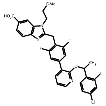 COCCn1c(Cc2c(F)cc(-c3cccnc3OC(C)c3ccc(Cl)cc3F)cc2F)nc2ccc(C(=O)O)cc21